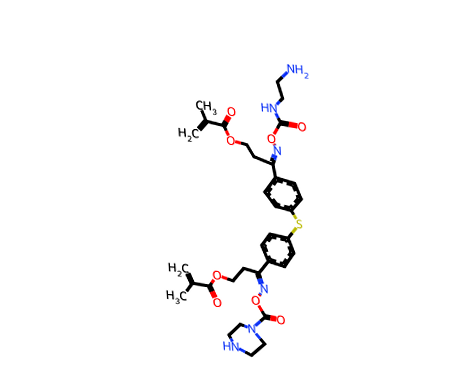 C=C(C)C(=O)OCC/C(=N\OC(=O)NCCN)c1ccc(Sc2ccc(/C(CCOC(=O)C(=C)C)=N/OC(=O)N3CCNCC3)cc2)cc1